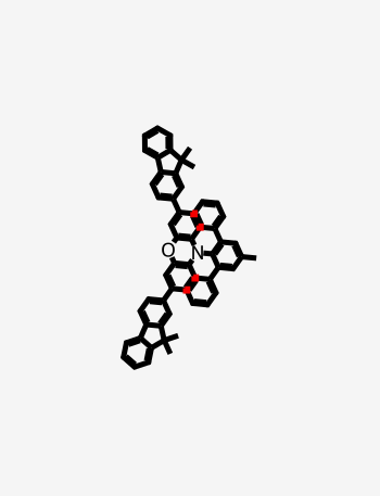 Cc1cc(-c2ccccc2)c(N2c3ccc(-c4ccc5c(c4)C(C)(C)c4ccccc4-5)cc3Oc3cc(-c4ccc5c(c4)C(C)(C)c4ccccc4-5)ccc32)c(-c2ccccc2)c1